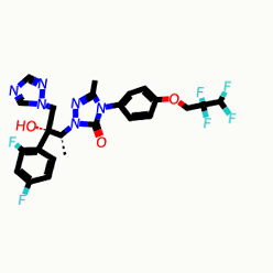 Cc1nn([C@H](C)[C@](O)(Cn2cncn2)c2ccc(F)cc2F)c(=O)n1-c1ccc(OCC(F)(F)C(F)F)cc1